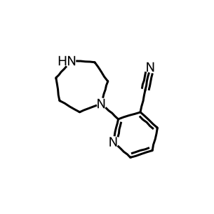 N#Cc1cccnc1N1CCCNCC1